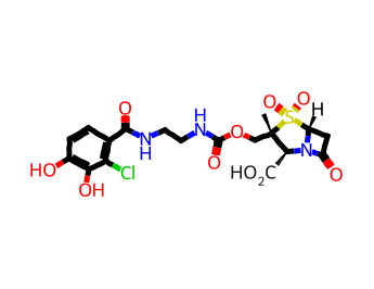 C[C@]1(COC(=O)NCCNC(=O)c2ccc(O)c(O)c2Cl)[C@H](C(=O)O)N2C(=O)C[C@H]2S1(=O)=O